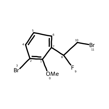 COc1c(Br)cccc1C(F)CBr